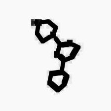 c1ccc(-c2ccnc(N3CCNCC3)n2)cc1